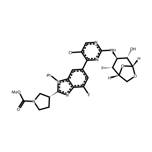 COC(=O)N1CC[C@@H](c2nc3c(F)cc(-c4nc(N[C@H]5[C@H](O)[C@@H]6OC[C@@H](O6)[C@@H]5F)ncc4Cl)cc3n2C(C)C)C1